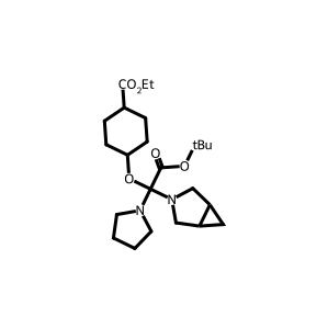 CCOC(=O)C1CCC(OC(C(=O)OC(C)(C)C)(N2CCCC2)N2CC3CC3C2)CC1